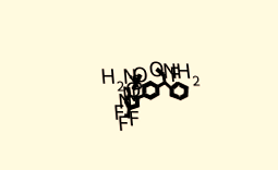 Cn1nc(C(F)(F)F)cc1-c1ccc(C(C(N)=O)c2ccccc2F)cc1S(N)(=O)=O